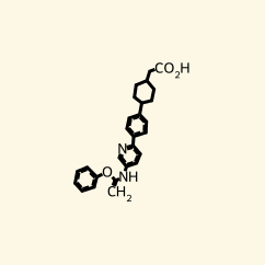 C=C(Nc1ccc(-c2ccc(C3CCC(CC(=O)O)CC3)cc2)nc1)Oc1ccccc1